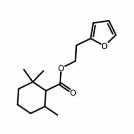 CC1CCCC(C)(C)C1C(=O)OCCc1ccco1